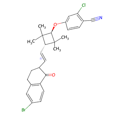 CC1(C)[C@H](/C=C/C2CCc3cc(Br)ccc3C2=O)C(C)(C)[C@H]1Oc1ccc(C#N)c(Cl)c1